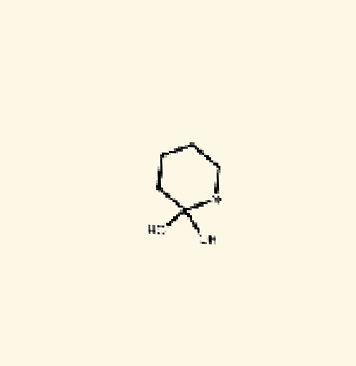 OC1(O)CCCC[N]1